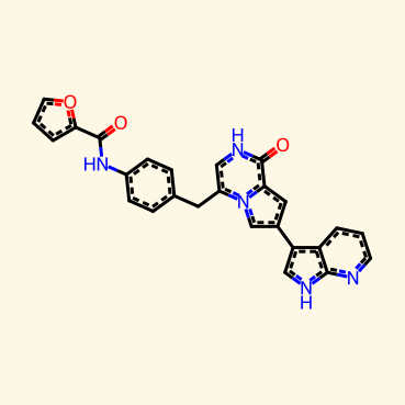 O=C(Nc1ccc(Cc2c[nH]c(=O)c3cc(-c4c[nH]c5ncccc45)cn23)cc1)c1ccco1